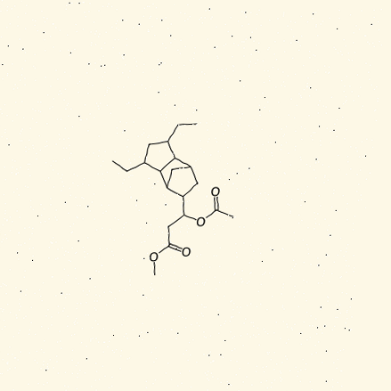 CCC1CC(CC)C2C3CC(CC3C(CC(=O)OC)OC(C)=O)C12